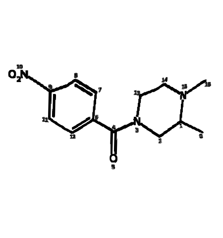 CC1CN(C(=O)c2ccc([N+](=O)[O-])cc2)CCN1C